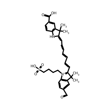 CC1(C)C(/C=C/C=C/C=C/C=C2\Nc3ccc(C(=O)O)cc3C2(C)C)=[N+](CCCCS(=O)(=O)O)c2ccc(C=O)cc21